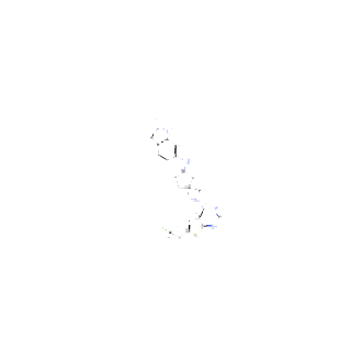 Cc1cc2ccc(NC3CCC4(C3)CN(c3ncnc5sc(CC(F)(F)F)cc35)C4)cc2[nH]1